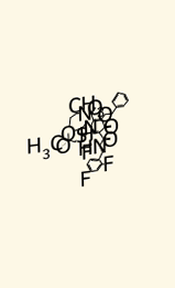 CO[C@H]1CS[C@@]2(CC[C@H](C)N3C[C@H]2n2cc(C(=O)NCc4c(F)cc(F)cc4F)c(=O)c(OCc4ccccc4)c2C3=O)O1